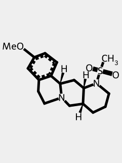 COc1ccc2c(c1)CCN1C[C@H]3CCCN(S(C)(=O)=O)[C@H]3C[C@@H]21